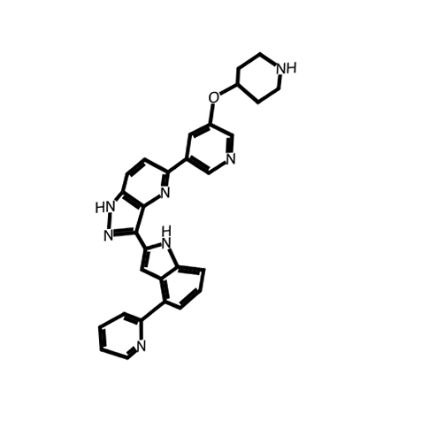 c1ccc(-c2cccc3[nH]c(-c4n[nH]c5ccc(-c6cncc(OC7CCNCC7)c6)nc45)cc23)nc1